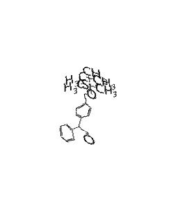 CC(C)(C)[Si](C)(C)OCc1ccc(C(C=O)c2ccccc2)cc1